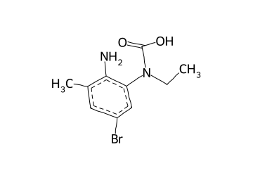 CCN(C(=O)O)c1cc(Br)cc(C)c1N